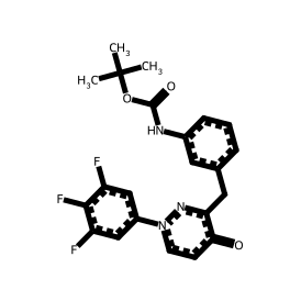 CC(C)(C)OC(=O)Nc1cccc(Cc2nn(-c3cc(F)c(F)c(F)c3)ccc2=O)c1